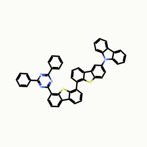 c1ccc(-c2nc(-c3ccccc3)nc(-c3cccc4c3sc3c(-c5cccc6c5sc5ccc(-n7c8ccccc8c8ccccc87)cc56)cccc34)n2)cc1